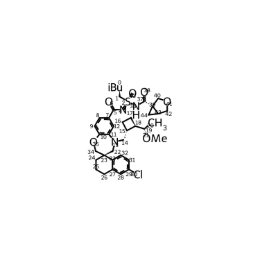 CC[C@H](C)CS(=O)(=NC(=O)c1ccc2c(c1)N(C[C@@H]1CC[C@H]1[C@H](C)OC)C[C@@]1(CCCc3cc(Cl)ccc31)CO2)NC(=O)[C@]12COCC1C2